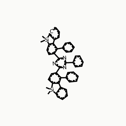 C[Si]1(C)c2ccccc2-c2c1ccc(-c1nc(-c3ccccc3)nc(-c3ccc4c(c3-c3ccccc3)-c3ccccc3[Si]4(C)C)n1)c2-c1ccccc1